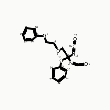 O=C=NC(COCCOc1ccccc1)(N=C=O)Oc1ccccc1